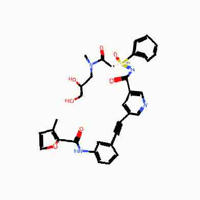 Cc1ccoc1C(=O)Nc1cccc(C#Cc2cncc(C(=O)N=[S@](=O)(CC(=O)N(C)CC(O)CO)c3ccccc3)c2)c1